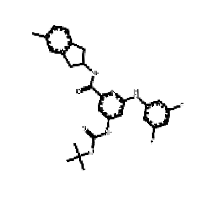 Cc1ccc2c(c1)CC(NC(=O)c1cc(NC(=O)OC(C)(C)C)cc(Nc3cc(F)cc(F)c3)n1)C2